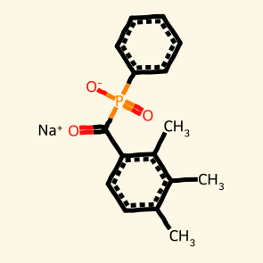 Cc1ccc(C(=O)P(=O)([O-])c2ccccc2)c(C)c1C.[Na+]